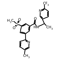 Cc1ccc(-c2cc(C(=O)NC(C)c3ccc(C(F)(F)F)nc3)cc(S(C)(=O)=O)c2)nc1